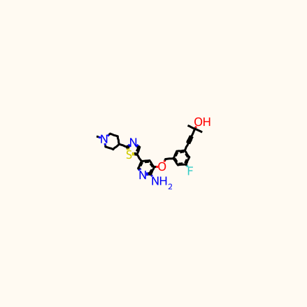 CN1CCC(c2ncc(-c3cnc(N)c(OCc4cc(F)cc(C#CC(C)(C)O)c4)c3)s2)CC1